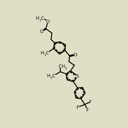 COC(=O)CCc1ccc(C(=O)CCc2sc(-c3ccc(C(F)(F)F)cc3)cc2C(C)C)cc1C